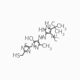 [C-]#[N+]c1c(C(C)(C)C)n[nH]c1/N=N/c1c(C)nn(-c2nc(CS)ns2)c1O